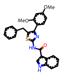 COc1ccc(-c2nc(NC(=O)c3c[nH]c4ccccc34)sc2Cc2ccccc2)c(OC)c1